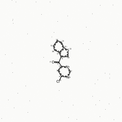 O=C(c1cc(Cl)ncn1)c1csc2ccccc12